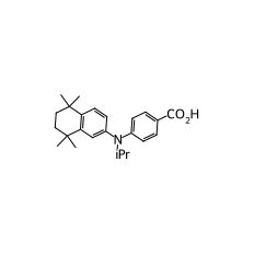 CC(C)N(c1ccc(C(=O)O)cc1)c1ccc2c(c1)C(C)(C)CCC2(C)C